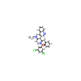 CN(Cc1ccnc2ccccc12)[C@H]1CCN(C(=O)c2cc(Cl)cc(Cl)c2)[C@H](Cc2ccccc2)C1